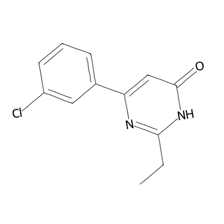 CCc1nc(-c2cccc(Cl)c2)cc(=O)[nH]1